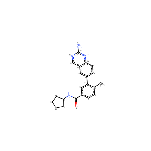 Cc1ccc(C(=O)NC2CCCC2)cc1-c1ccc2nc(N)ncc2c1